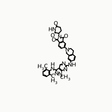 Cc1cccc(C)c1Nc1nn(C)c2nc(Nc3ccc4c(c3)CN(c3ccc5c(c3)C(=O)N(C3CCC(=O)NC3=O)C5=O)CC4)ncc12